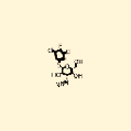 [N-]=[N+]=N[C@@H]1[C@@H](O)[C@@H](Sc2cc(Cl)c(F)c(Cl)c2)O[C@H](CO)[C@@H]1O